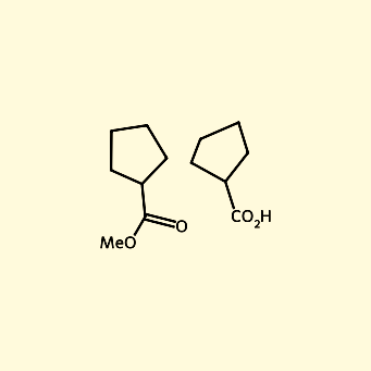 COC(=O)C1CCCC1.O=C(O)C1CCCC1